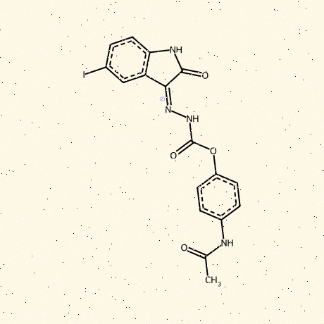 CC(=O)Nc1ccc(OC(=O)N/N=C2\C(=O)Nc3ccc(I)cc32)cc1